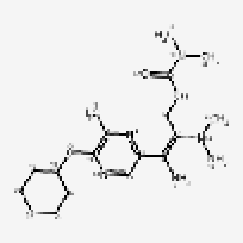 Cc1nc(/C(N)=C(\COC(=O)N(C)C)N(C)N)cnc1OC1CCCCC1